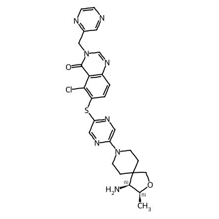 C[C@@H]1OCC2(CCN(c3cnc(Sc4ccc5ncn(Cc6cnccn6)c(=O)c5c4Cl)cn3)CC2)[C@@H]1N